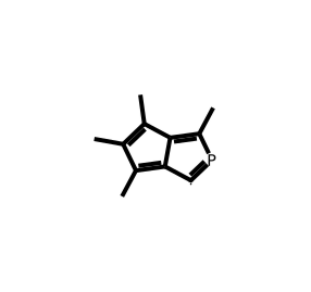 CC1=C2C(C)=C(C)C(C)=C2[C]=P1